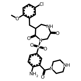 COc1ccc(Cl)cc1CC1CNC(=O)CN(S(=O)(=O)c2ccc(N)c(C(=O)N3CCNCC3)c2)C1=O